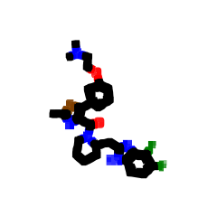 Cc1nc(C(=O)N2CCCCC2Cc2nc3c(F)c(F)ccc3[nH]2)c(-c2cccc(OCCN(C)C)c2)s1